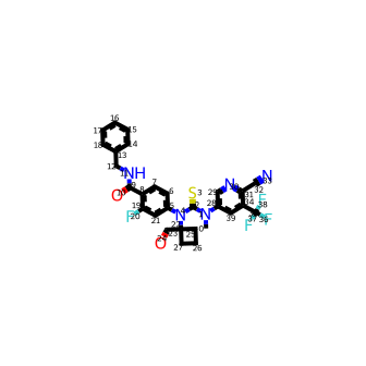 CN(C(=S)N(c1ccc(C(=O)NCc2ccccc2)c(F)c1)C1(C=O)CCC1)c1cnc(C#N)c(C(F)(F)F)c1